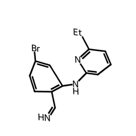 CCc1cccc(Nc2cc(Br)ccc2C=N)n1